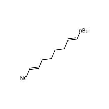 CCCCC=CCCCCC=CC#N